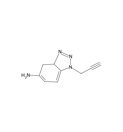 C#CCN1N=NC2CC(N)=CC=C21